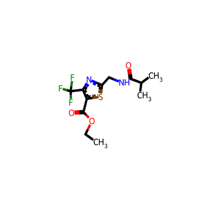 CCOC(=O)c1sc(CNC(=O)C(C)C)nc1C(F)(F)F